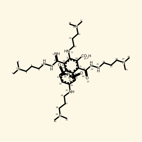 CN(C)CCCNNC(=N)c1c(NCCCN(C)C)c(C(=O)O)c(C(=O)NNCCCN(C)C)c2c3c(NCCCN(C)C)cc(c(=O)[nH]c3=O)c12